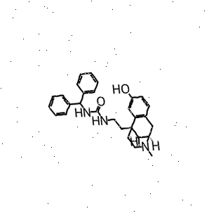 C[C@H]1[C@H]2Cc3ccc(O)cc3[C@@]1(CCNC(=O)NC(c1ccccc1)c1ccccc1)CCN2C